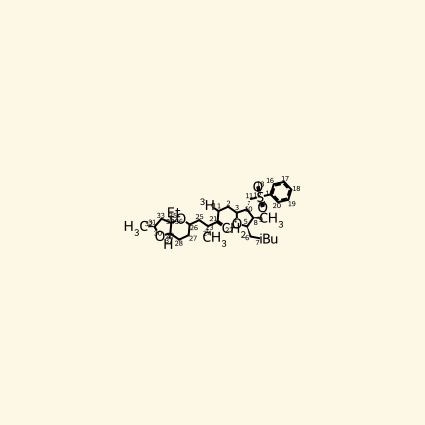 [3H]C(CC1O[C@H](CC(C)CC)[C@H](C)[C@H]1CS(=O)(=O)c1ccccc1)C(=C)[C@H](C)CC1CC[C@@H]2O[C@@H](C)C[C@]2(CC)O1